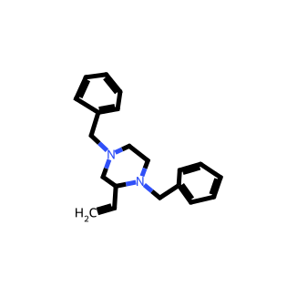 C=CC1CN(Cc2ccccc2)CCN1Cc1ccccc1